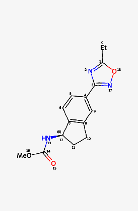 CCc1nc(-c2ccc3c(c2)CC[C@H]3NC(=O)OC)no1